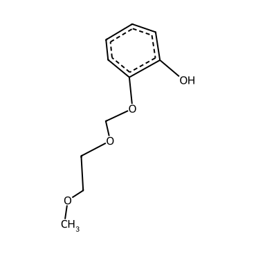 COCCOCOc1ccccc1O